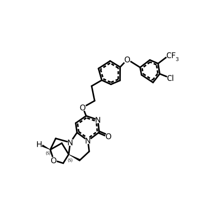 O=c1nc(OCCc2ccc(Oc3ccc(Cl)c(C(F)(F)F)c3)cc2)cc2n1CC[C@]13CO[C@H](CN21)C3